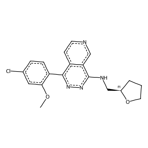 COc1cc(Cl)ccc1-c1nnc(NC[C@H]2CCCO2)c2cnccc12